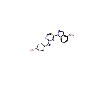 COc1cccc2c1cnn2-c1ccnc(N[C@H]2CC[C@H](O)CC2)n1